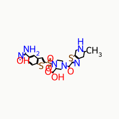 CC1Cc2nc(C(=O)N3CCN(S(=O)(=O)c4cc5cc(/C(N)=N\O)ccc5s4)C(C(=O)O)C3)sc2CN1